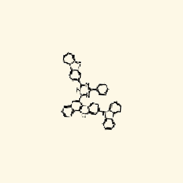 c1ccc(-c2nc(-c3ccc4c(c3)sc3ccccc34)nc(-c3cc4ccccc4c4oc5cc(-n6c7ccccc7c7ccccc76)ccc5c34)n2)cc1